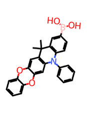 CC1(C)c2cc(B(O)O)ccc2N(c2ccccc2)c2cc3c(cc21)Oc1ccccc1O3